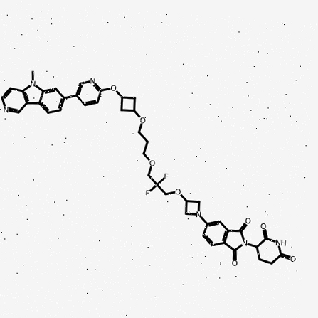 Cn1c2ccncc2c2ccc(-c3ccc(OC4CC(OCCCOCC(F)(F)COC5CN(c6ccc7c(c6)C(=O)N(C6CCC(=O)NC6=O)C7=O)C5)C4)nc3)cc21